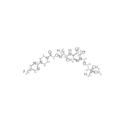 C/C(=N\OCC(=O)N1CCN(c2ncc(C(F)(F)F)cn2)CC1)C(C)Nc1cnn(COCC[Si](C)(C)C)c(=O)c1C(F)(F)F